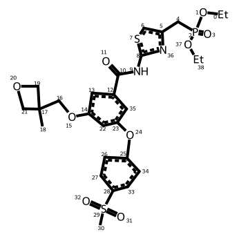 CCOP(=O)(Cc1csc(NC(=O)c2cc(OCC3(C)COC3)cc(Oc3ccc(S(C)(=O)=O)cc3)c2)n1)OCC